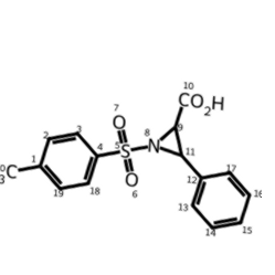 Cc1ccc(S(=O)(=O)N2C(C(=O)O)C2c2ccccc2)cc1